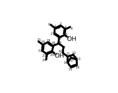 Cc1cc(C)c(O)c(C(CCC2CC3C=CC2C3)c2cc(C)cc(C)c2O)c1